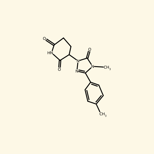 Cc1ccc(-c2nn(C3CCC(=O)NC3=O)c(=O)n2C)cc1